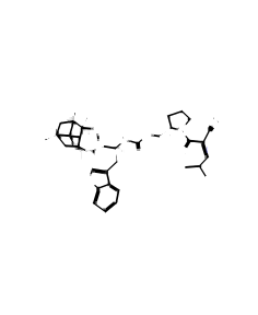 CC(C)/C=C(/C#N)C(=O)N1CCC[C@@H]1COC(=O)N[C@@H](Cc1coc2ccccc12)B1O[C@@H]2C[C@@H]3C[C@@H](C3(C)C)[C@]2(C)O1